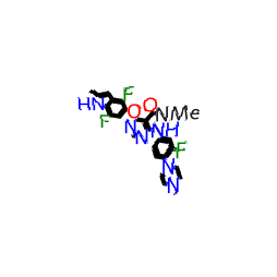 CNC(=O)c1c(Nc2ccc(N3CCN(C)CC3)c(F)c2)ncnc1Oc1cc(F)c2[nH]c(C)cc2c1F